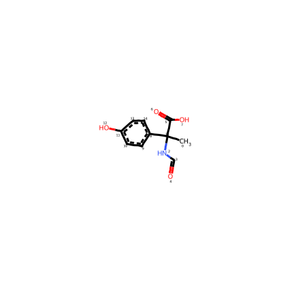 CC(N[C]=O)(C(=O)O)c1ccc(O)cc1